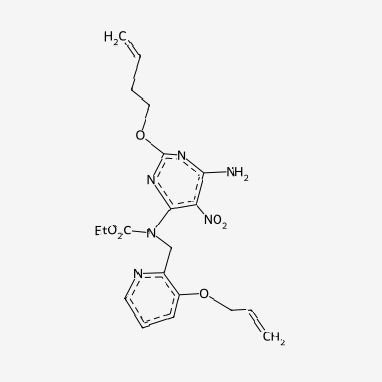 C=CCCOc1nc(N)c([N+](=O)[O-])c(N(Cc2ncccc2OCC=C)C(=O)OCC)n1